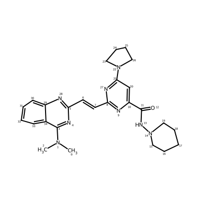 CN(C)c1nc(/C=C/c2nc(C(=O)NN3CCCCC3)cc(N3CCCC3)n2)nc2ccccc12